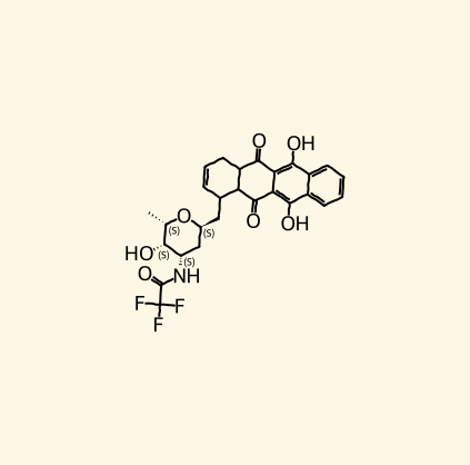 C[C@@H]1O[C@@H](CC2C=CCC3C(=O)c4c(c(O)c5ccccc5c4O)C(=O)C23)C[C@H](NC(=O)C(F)(F)F)[C@@H]1O